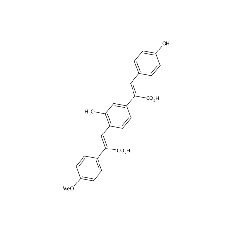 COc1ccc(C(=Cc2ccc(C(=Cc3ccc(O)cc3)C(=O)O)cc2C)C(=O)O)cc1